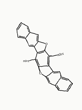 CCCCCCCCc1c2oc3cc4ccccc4cc3c2c(CCCCCCCC)c2oc3cc4ccccc4cc3c12